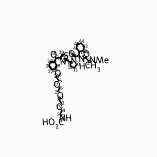 CNC(C)C(=O)NC(C(=O)N1CCCC1c1nc(C(=O)c2cccc(OCCOCCOCCOCCNC(=O)O)c2)cs1)C1CCCCC1